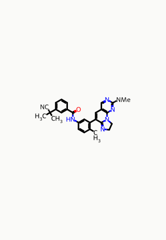 CNc1ncc2c(n1)N1CCN=C1C(c1cc(NC(=O)c3cccc(C(C)(C)C#N)c3)ccc1C)=C2